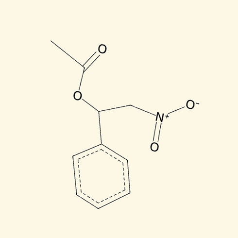 CC(=O)OC(C[N+](=O)[O-])c1ccccc1